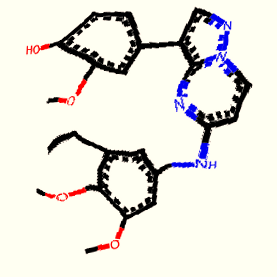 CCc1cc(Nc2ccn3ncc(-c4ccc(O)c(OC)c4)c3n2)cc(OC)c1OC